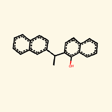 CC(c1ccc2ccccc2c1)c1ccc2ccccc2c1O